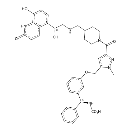 Cn1nc(C(=O)N2CCC(CNC[C@H](O)c3ccc(O)c4[nH]c(=O)ccc34)CC2)cc1COc1cccc([C@@H](NC(=O)O)c2ccccc2)c1